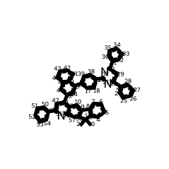 CC1(C)c2ccccc2-c2cc3c(-c4cc(-c5ccc(-c6nc(-c7ccccc7)cc(-c7ccccc7)n6)cc5)c5ccccc5c4)cc(-c4ccccc4)nc3cc21